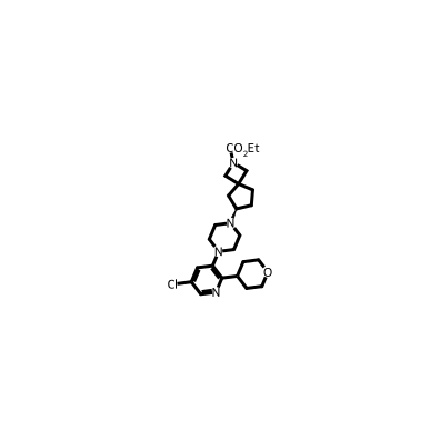 CCOC(=O)N1CC2(CC[C@@H](N3CCN(c4cc(Cl)cnc4C4CCOCC4)CC3)C2)C1